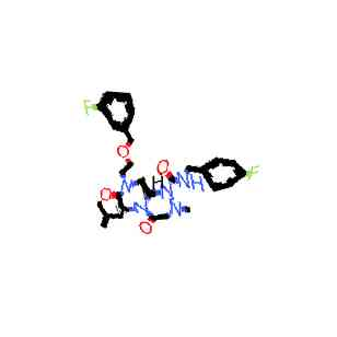 CC(C)C[C@H]1C(=O)N(CCOCc2cccc(F)c2)C[C@H]2N1C(=O)CN(C)N2C(=O)NCc1ccc(F)cc1